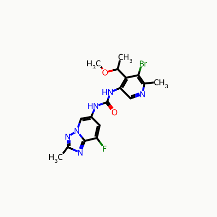 COC(C)c1c(NC(=O)Nc2cc(F)c3nc(C)nn3c2)cnc(C)c1Br